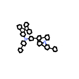 c1ccc(-c2ccc(N(c3ccc(-c4ccc(-c5ccccc5-n5c6ccccc6c6ccc(-c7ccccc7)cc65)cc4)cc3)c3ccc4c(c3)C3(c5ccccc5-c5ccccc53)c3ccccc3-4)cc2)cc1